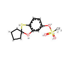 O=S(=O)(Oc1ccc2c(c1)OC1(CCCC1)S2)C(F)(F)F